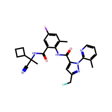 Cc1cccnc1-n1nc(CF)cc1C(=O)Nc1c(C)cc(I)cc1C(=O)NC(C)(C#N)C1CCC1